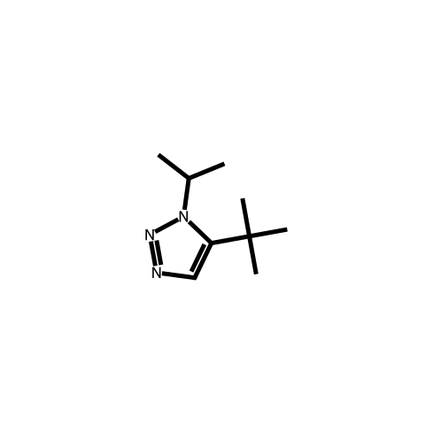 CC(C)n1nncc1C(C)(C)C